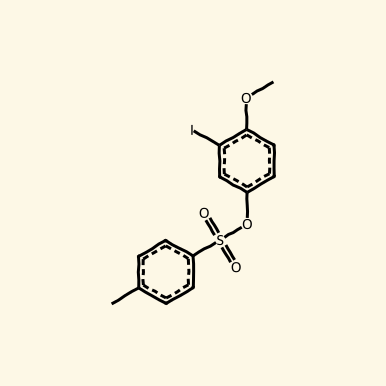 COc1ccc(OS(=O)(=O)c2ccc(C)cc2)cc1I